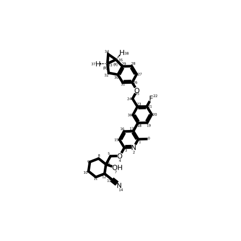 Cc1nc(OCC2(O)CCCCC2C#N)ccc1-c1ccc(F)c(COc2ccc3c(c2)C[C@H]2C[C@@H]32)c1